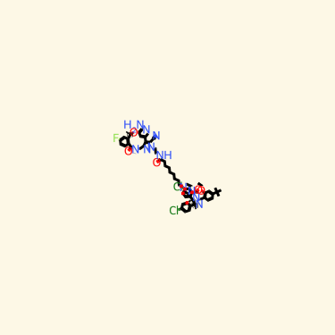 CCOc1cc(C(C)(C)C)ccc1C1=N[C@](C)(c2ccc(Cl)cc2)[C@](C)(c2ccc(Cl)cc2)N1C(=O)N1CCN(CCCCCCCCC(=O)NCCn2nc3c(c2C#N)-c2cnc(N)c(c2)O[C@H](C)c2cc(F)ccc2C(=O)N(C)C3)CC1